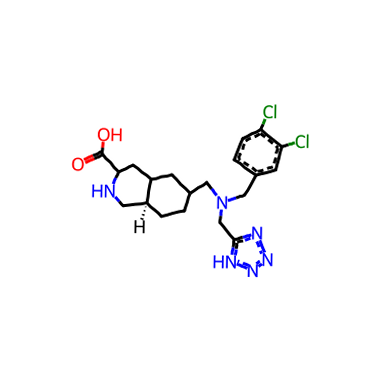 O=C(O)C1CC2CC(CN(Cc3ccc(Cl)c(Cl)c3)Cc3nnn[nH]3)CC[C@H]2CN1